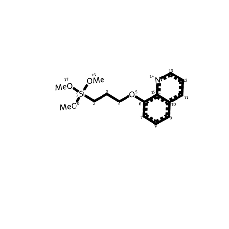 CO[Si](CCCOc1cccc2cccnc12)(OC)OC